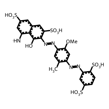 COc1cc(/N=N/c2cc(S(=O)(=O)O)ccc2S(=O)(=O)O)c(C)cc1/N=N/c1c(S(=O)(=O)O)cc2cc(S(=O)(=O)O)cc([NH])c2c1O